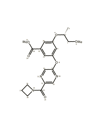 COC[C@@H](C)Oc1cc(Oc2cnc(C(=O)N3CCC3)cn2)cc(C(=O)OC)c1